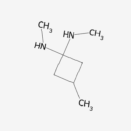 CNC1(NC)CC(C)C1